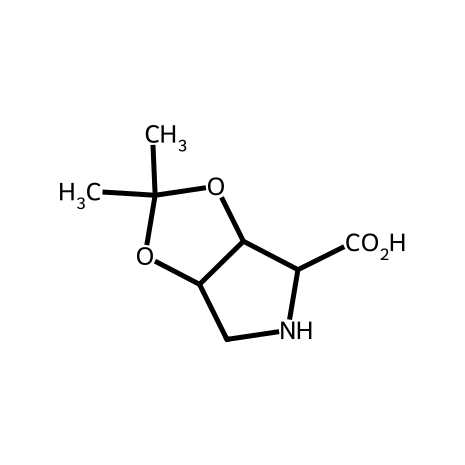 CC1(C)OC2CNC(C(=O)O)C2O1